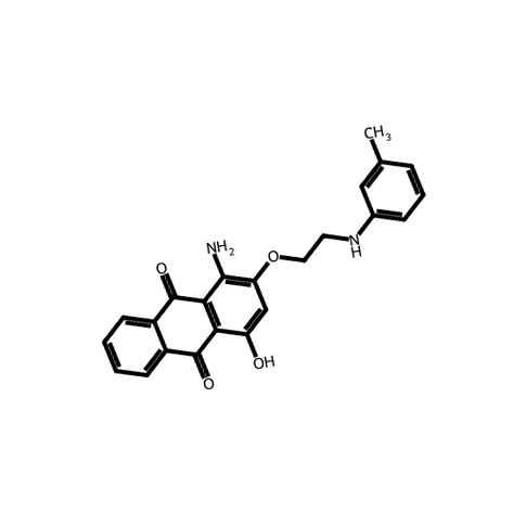 Cc1cccc(NCCOc2cc(O)c3c(c2N)C(=O)c2ccccc2C3=O)c1